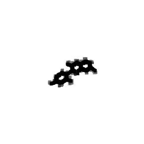 Cc1ccc(-c2nc3cc(C)ccc3cc2C)c(C)c1